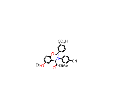 CCOc1ccc(OCc2cccc(C(=O)O)c2)c(C(Nc2ccc(C#N)cc2)C(=O)OC)c1